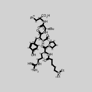 CCN(CC)CCCCC(=O)N[C@@H](CCCNC(=N)N)C(=O)N1CCC[C@H]1C(=O)N[C@@H](Cc1ccc(O)cc1)C(=O)N[C@H](C(=O)N[C@@H](CC(C)C)C(=O)O)C(C)(C)C